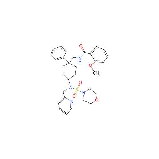 COc1ccccc1C(=O)NCC1(c2ccccc2)CCC(N(Cc2ccccn2)S(=O)(=O)N2CCOCC2)CC1